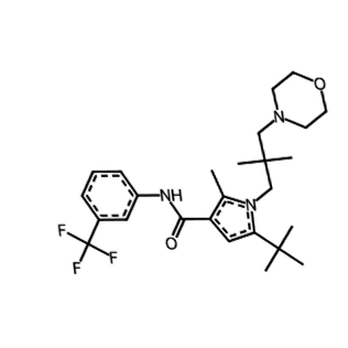 Cc1c(C(=O)Nc2cccc(C(F)(F)F)c2)cc(C(C)(C)C)n1CC(C)(C)CN1CCOCC1